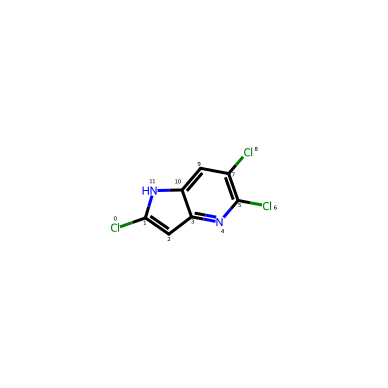 Clc1cc2nc(Cl)c(Cl)cc2[nH]1